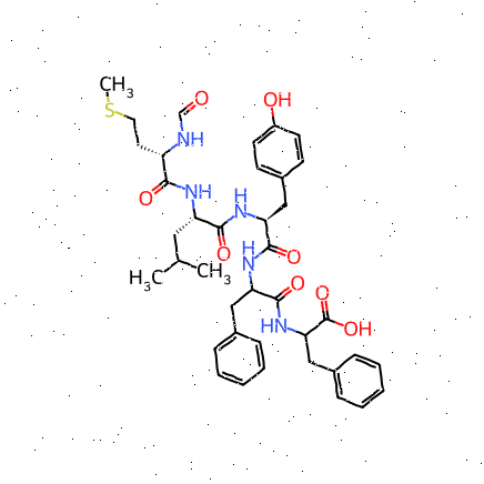 CSCC[C@H](NC=O)C(=O)N[C@@H](CC(C)C)C(=O)N[C@@H](Cc1ccc(O)cc1)C(=O)NC(Cc1ccccc1)C(=O)NC(Cc1ccccc1)C(=O)O